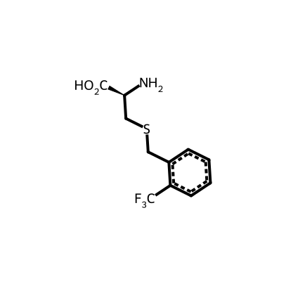 N[C@@H](CSCc1ccccc1C(F)(F)F)C(=O)O